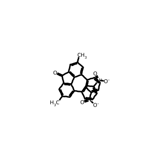 Cc1cc2c(c(-c3cccc([N+](=O)[O-])c3)c1)-c1c(cc(C)cc1-c1cccc([N+](=O)[O-])c1)C2=O